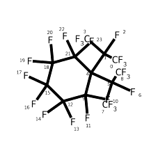 FC(F)(F)C(F)(C(F)(F)F)C1(C(F)(C(F)(F)F)C(F)(F)F)C(F)(F)C(F)(F)C(F)(F)C(F)(F)C1(F)F